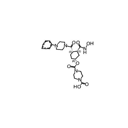 O=C(NO)[C@H]1C[C@H](OC(=O)N2CCN(C(=O)O)CC2)CC[C@@H]1C(=O)N1CCN(c2ccccc2)CC1